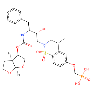 CC1CN(C[C@@H](O)[C@H](Cc2ccccc2)NC(=O)O[C@H]2CO[C@H]3OCC[C@H]32)S(=O)(=O)c2ccc(OCP(=O)(O)O)cc21